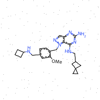 COc1cc(CNC2CCC2)ccc1Cn1ncc2nc(N)nc(NCC3CC4(CC4)C3)c21